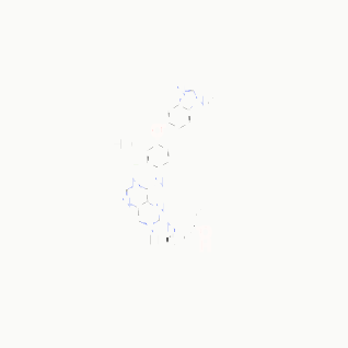 Cc1c(Oc2ccc3c(c2)ncn3C)ccc(Nc2ncnc3cnc(N(C)CC(C)(C)O)nc23)c1F